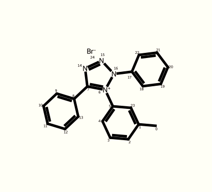 Cc1cccc(-[n+]2c(-c3ccccc3)nnn2-c2ccccc2)c1.[Br-]